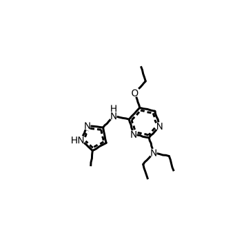 CCOc1cnc(N(CC)CC)nc1Nc1cc(C)[nH]n1